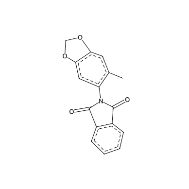 Cc1cc2c(cc1N1C(=O)c3ccccc3C1=O)OCO2